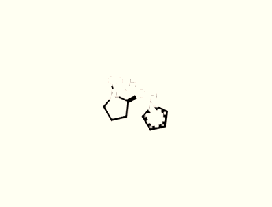 O=C(O)N1CCCC1=O.c1cc[nH]c1